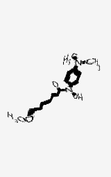 COCCC=CC=CC(=O)N(O)c1ccc(N(C)C)cc1